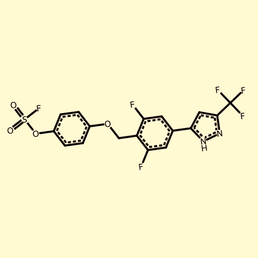 O=S(=O)(F)Oc1ccc(OCc2c(F)cc(-c3cc(C(F)(F)F)n[nH]3)cc2F)cc1